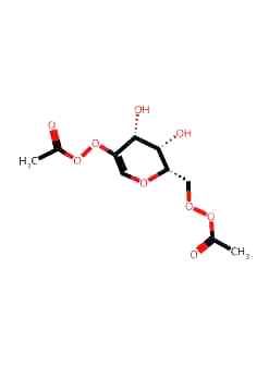 CC(=O)OOC[C@@H]1OC=C(OOC(C)=O)[C@H](O)[C@@H]1O